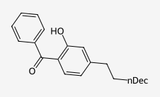 CCCCCCCCCCCCc1ccc(C(=O)c2ccccc2)c(O)c1